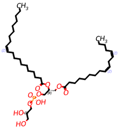 CCCC/C=C\C/C=C\CCCCCCCC(=O)OC[C@H](COP(=O)(O)OC[C@@H](O)CO)OC(=O)CCCCCCCCC/C=C\CCCCCCCC